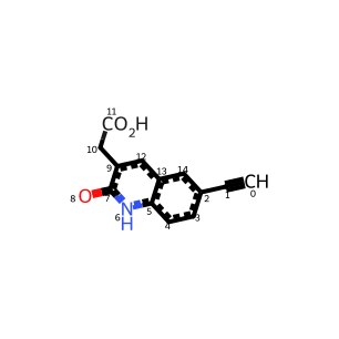 C#Cc1ccc2[nH]c(=O)c(CC(=O)O)cc2c1